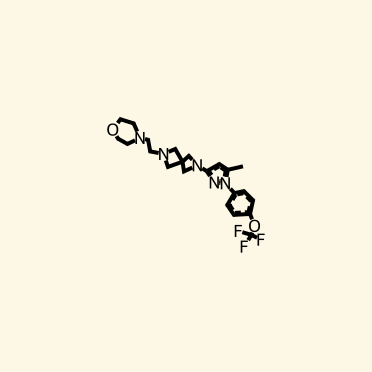 Cc1cc(N2CC3(CN(CCN4CCOCC4)C3)C2)nn1-c1ccc(OC(F)(F)F)cc1